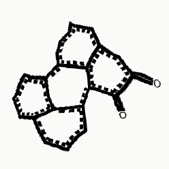 O=c1cc2cccc3c4cccc5cccc(c(c1=O)c23)c54